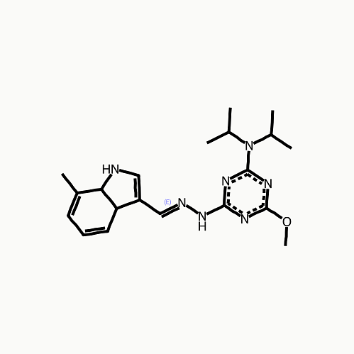 COc1nc(N/N=C/C2=CNC3C(C)=CC=CC23)nc(N(C(C)C)C(C)C)n1